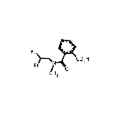 CCCCC(CC)CN(C)C(=O)c1ccccc1C(=O)O